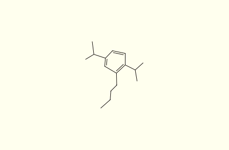 CCCCc1cc(C(C)C)ccc1C(C)C